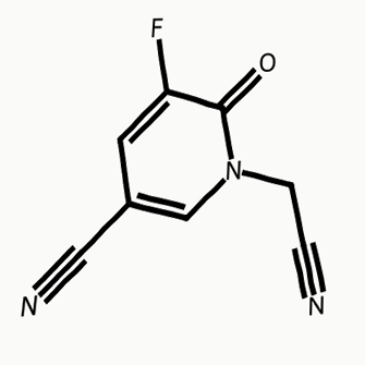 N#CCn1cc(C#N)cc(F)c1=O